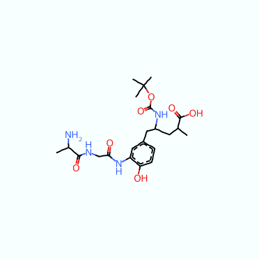 CC(N)C(=O)NCC(=O)Nc1cc(CC(CC(C)C(=O)O)NC(=O)OC(C)(C)C)ccc1O